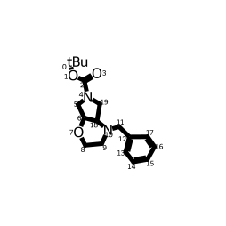 CC(C)(C)OC(=O)N1CC2OCCN(Cc3ccccc3)C2C1